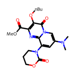 CCCCOc1c(C(=O)OC)nc2c(N3CCCOC3=O)cc(N(C)C)cn2c1=O